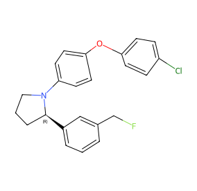 FCc1cccc([C@H]2CCCN2c2ccc(Oc3ccc(Cl)cc3)cc2)c1